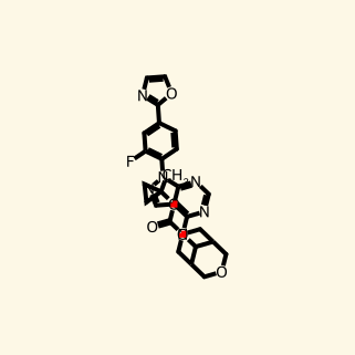 CC1(OC(=O)N2CC3COCC(C2)C3Oc2ncnc3c2cnn3-c2ccc(-c3ncco3)cc2F)CC1